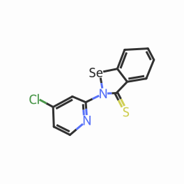 S=c1c2ccccc2[se]n1-c1cc(Cl)ccn1